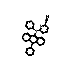 N#Cc1cccc(N(c2ccccc2)c2c3ccccc3c(-c3ccccc3)c3ccccc23)n1